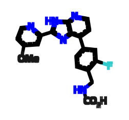 COc1ccnc(-c2nc3c(-c4ccc(CNC(=O)O)c(F)c4)ccnc3[nH]2)c1